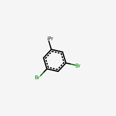 CC(C)c1cc(Br)cc(Br)c1